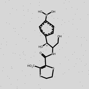 O=C(O)C1=C(C(=O)NC(CO)[C@@H](O)c2ccc(N(O)O)cc2)SCCS1